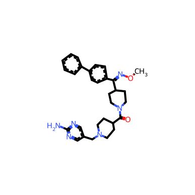 CON=C(c1ccc(-c2ccccc2)cc1)C1CCN(C(=O)C2CCN(Cc3cnc(N)nc3)CC2)CC1